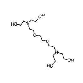 OCCN(CCO)CCOCCOCCN(CCO)CCO